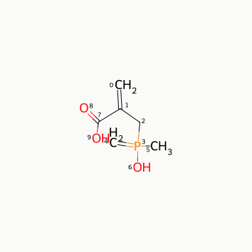 C=C(CP(=C)(C)O)C(=O)O